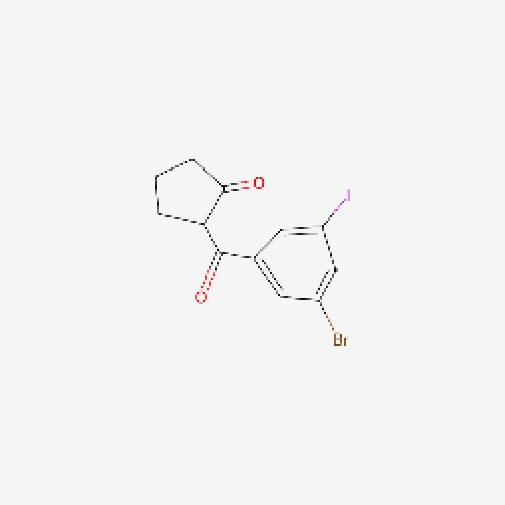 O=C1CCCC1C(=O)c1cc(Br)cc(I)c1